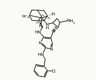 N#Cc1cnc(NCc2ccccc2Cl)nc1NC[C@]12CC3C[C@H](C1)[C@@H](NC1CC(N)C1)[C@@H](C3)C2